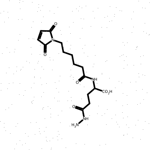 NNC(=O)CCC(NC(=O)CCCCCN1C(=O)C=CC1=O)C(=O)O